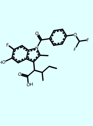 CCC(C)C(C(=O)O)c1c(C)n(C(=O)c2ccc(OC(F)F)cc2)c2cc(F)c(O)cc12